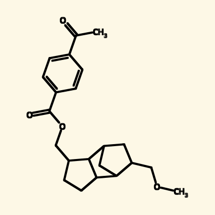 COCC1CC2CC1C1CCC(COC(=O)c3ccc(C(C)=O)cc3)C21